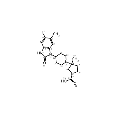 Cc1cc2c(cc1F)[nH]c(=O)n2C1CCN(C2(C)CCN(C(=O)O)C2)CC1